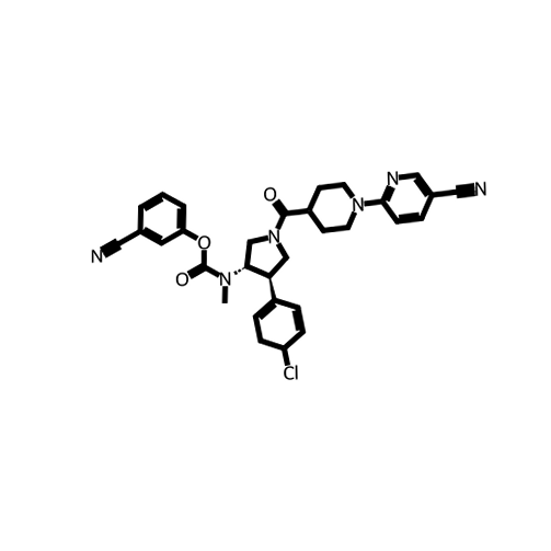 CN(C(=O)Oc1cccc(C#N)c1)[C@@H]1CN(C(=O)C2CCN(c3ccc(C#N)cn3)CC2)C[C@H]1C1=CCC(Cl)C=C1